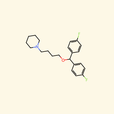 Fc1ccc(C(OCCCCN2CCCCC2)c2ccc(F)cc2)cc1